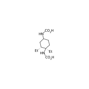 CC[C@@H]1CC(NC(=O)O)CC[C@@]1(CC)NC(=O)O